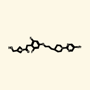 CCCc1cnc(N2CCC(CCCOc3cc(F)c(CC(=O)N4CC(CO)C4)c(F)c3)CC2)nc1